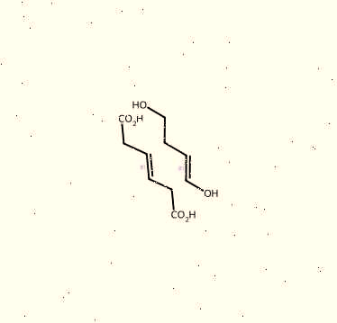 O/C=C/CCO.O=C(O)C/C=C/CC(=O)O